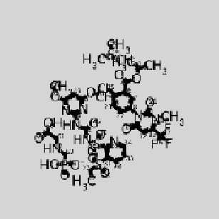 CC(C)OC(=O)c1cc(-n2c(=O)cc(C(F)(F)F)n(C)c2=O)ccc1Cl.CCS(=O)(=O)c1cccnc1S(=O)(=O)NC(=O)Nc1nc(OC)cc(OC)n1.C[S+](C)C.O=C(O)CNCP(=O)([O-])O